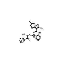 CCCC(CCNc1cnccc1NC(=O)c1c(N)nn2cc(F)cnc12)C(=O)N1CCN2CCC1CC2